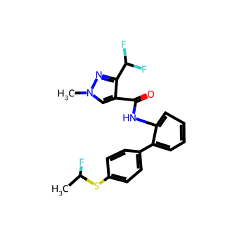 CC(F)Sc1ccc(-c2ccccc2NC(=O)c2cn(C)nc2C(F)F)cc1